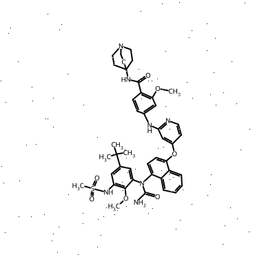 COc1cc(Nc2cc(Oc3ccc(N(C(N)=O)c4cc(C(C)(C)C)cc(NS(C)(=O)=O)c4OC)c4ccccc34)ccn2)ccc1C(=O)NC12CCN(CC1)CC2